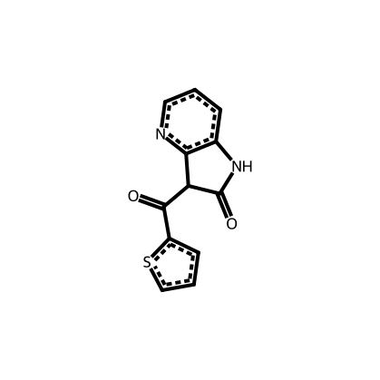 O=C1Nc2cccnc2C1C(=O)c1cccs1